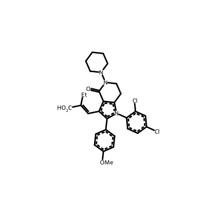 CCC(=Cc1c2c(n(-c3ccc(Cl)cc3Cl)c1-c1ccc(OC)cc1)CCN(N1CCCCC1)C2=O)C(=O)O